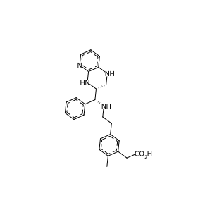 Cc1ccc(CCN[C@H](c2ccccc2)[C@H]2CNc3cccnc3N2)cc1CC(=O)O